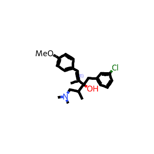 COc1ccc(/C=C(\C)C(O)(Cc2cccc(Cl)c2)C(C)CN(C)C)cc1